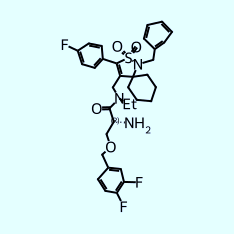 CCN(CC1=C(c2ccc(F)cc2)S(=O)(=O)N(Cc2ccccc2)C12CCCCC2)C(=O)[C@H](N)COCc1ccc(F)c(F)c1